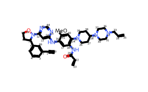 C#Cc1cccc(C2CCON2c2cc(Nc3cc(NC(=O)C=C)c(N4CCC(N5CCN(CC=C)CC5)CC4)cc3OC)ncn2)c1